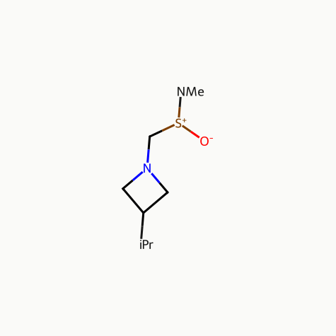 CN[S+]([O-])CN1CC(C(C)C)C1